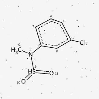 CN(c1cccc(Cl)c1)[SH](=O)=O